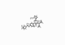 CC(C)n1nccc1C(=O)NC(C(=O)Nc1ccc(CC(=O)N2CCC(F)(F)C2)cc1F)C(C1CC1)C1CC1